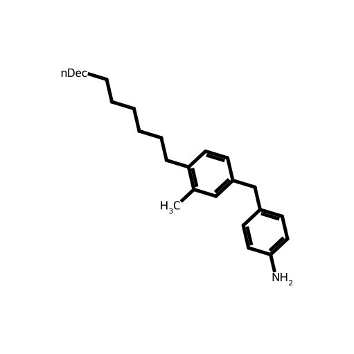 CCCCCCCCCCCCCCCCc1ccc(Cc2ccc(N)cc2)cc1C